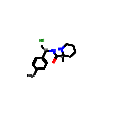 C[C@H](NC(=O)[C@@]1(C)CCCCN1)c1ccc(C(=O)O)cc1.Cl